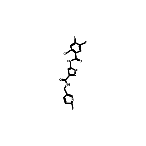 O=C(NCc1ccc(F)nc1)c1cc(NC(=O)c2cc(F)c(F)cc2Cl)[nH]n1